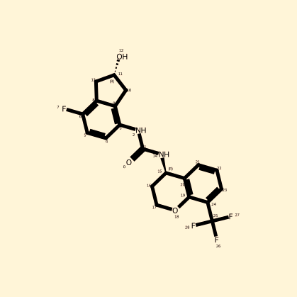 O=C(Nc1ccc(F)c2c1C[C@@H](O)C2)N[C@@H]1CCOc2c1cccc2C(F)(F)F